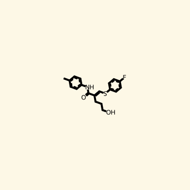 Cc1ccc(NC(=O)C(=CSc2ccc(F)cc2)CCCO)cc1